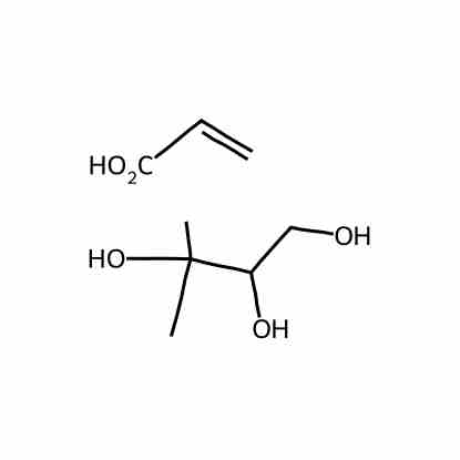 C=CC(=O)O.CC(C)(O)C(O)CO